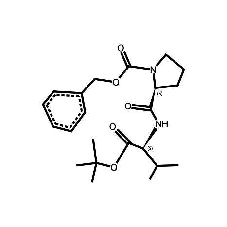 CC(C)[C@H](NC(=O)[C@@H]1CCCN1C(=O)OCc1ccccc1)C(=O)OC(C)(C)C